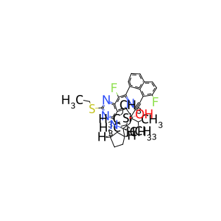 CCSc1nc2c3c(nc(-c4cccc5ccc(F)c(C#C[Si](C(C)C)(C(C)C)C(C)C)c45)c(F)c3n1)[C@H](O)C[C@@H]1[C@@H]3CC[C@@H](C3)CN21